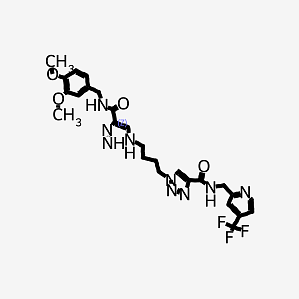 COc1ccc(CNC(=O)/C(=C/NCCCCn2cc(C(=O)NCc3cc(C(F)(F)F)ccn3)nn2)N=N)cc1OC